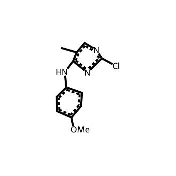 COc1ccc(Nc2nc(Cl)ncc2C)cc1